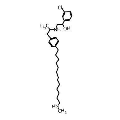 CNCCCCCCCCCCCCCc1ccc(CC(C)NCC(O)c2cccc(Cl)c2)cc1